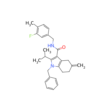 C=C1CCc2c(c(C(=O)NCc3ccc(C)c(F)c3)c(C(C)C)n2Cc2ccccc2)C1